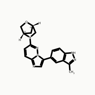 Cc1n[nH]c2ccc(-c3cnc4ccc(N5C[C@@H]6C[C@H]5CO6)nn34)cc12